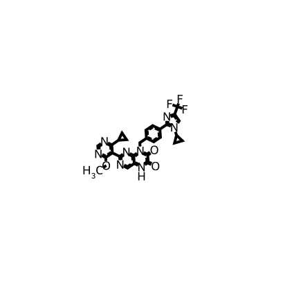 COc1ncnc(C2CC2)c1-c1ncc2[nH]c(=O)c(=O)n(Cc3ccc(-c4nc(C(F)(F)F)cn4C4CC4)cc3)c2n1